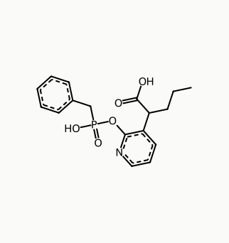 CCCC(C(=O)O)c1cccnc1OP(=O)(O)Cc1ccccc1